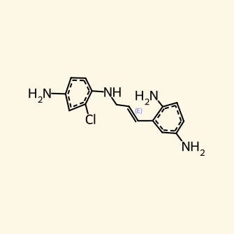 Nc1ccc(NC/C=C/c2cc(N)ccc2N)c(Cl)c1